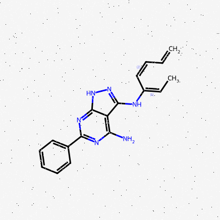 C=C/C=C\C(=C/C)Nc1n[nH]c2nc(-c3ccccc3)nc(N)c12